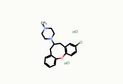 CN1CCN(C2Cc3ccccc3Oc3ccc(Cl)cc3C2)CC1.Cl.Cl